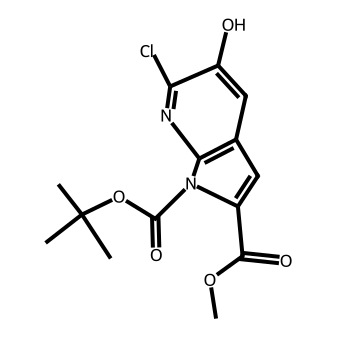 COC(=O)c1cc2cc(O)c(Cl)nc2n1C(=O)OC(C)(C)C